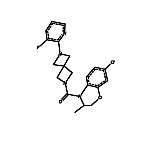 CC1COc2cc(Cl)ccc2N1C(=O)N1CC2(C1)CN(c1ncccc1F)C2